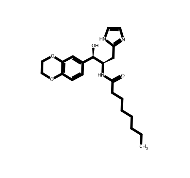 CCCCCCCC(=O)N[C@H](Cc1ncc[nH]1)[C@H](O)c1ccc2c(c1)OCCO2